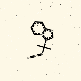 CC(C)(N=[N+]=[N-])c1cnc2ccccn12